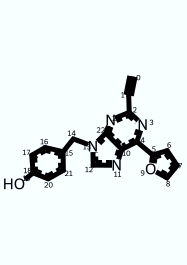 C#Cc1nc(-c2ccco2)c2ncn(Cc3ccc(O)cc3)c2n1